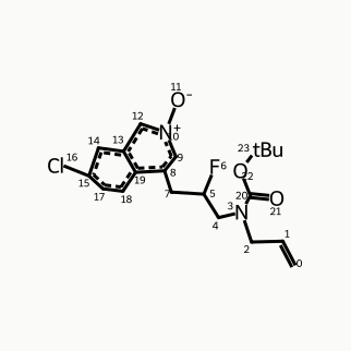 C=CCN(CC(F)Cc1c[n+]([O-])cc2cc(Cl)ccc12)C(=O)OC(C)(C)C